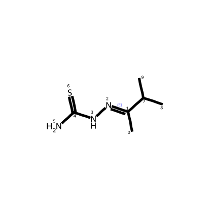 C/C(=N\NC(N)=S)C(C)C